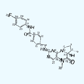 C[C@H]1CCN2c3nc(NCc4ccc(C(=O)Nc5ccc(F)cc5)cc4)ncc3N(C)C(=O)[C@@H]12